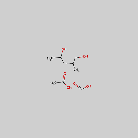 CC(=O)O.CC(O)CC(C)CO.O=CO